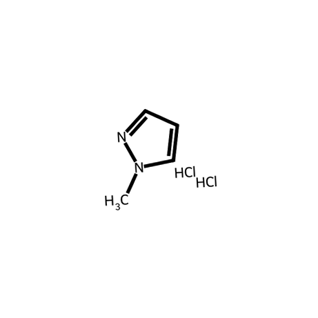 Cl.Cl.Cn1cccn1